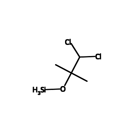 CC(C)(O[SiH3])C(Cl)Cl